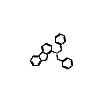 c1ccc([CH2][Zr]([CH2]c2ccccc2)[c]2cccc3c2Cc2ccccc2-3)cc1